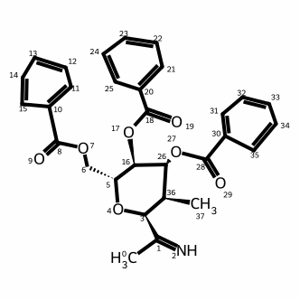 CC(=N)[C@H]1O[C@H](COC(=O)c2ccccc2)[C@@H](OC(=O)c2ccccc2)[C@H](OC(=O)c2ccccc2)[C@H]1C